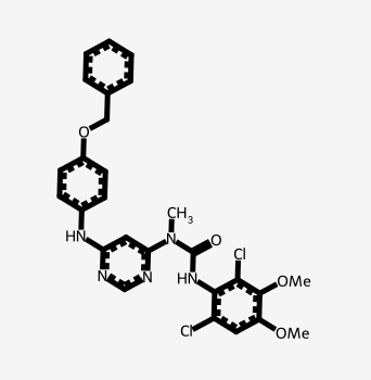 COc1cc(Cl)c(NC(=O)N(C)c2cc(Nc3ccc(OCc4ccccc4)cc3)ncn2)c(Cl)c1OC